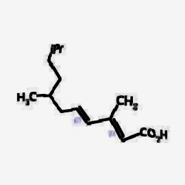 CC(/C=C/CC(C)CCC(C)C)=C\C(=O)O